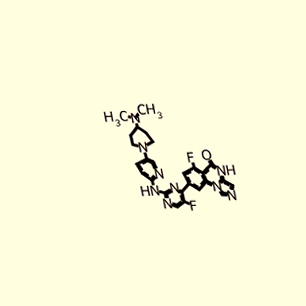 CN(C)C1CCN(c2ccc(Nc3ncc(F)c(-c4cc(F)c5c(=O)[nH]c6cncn6c5c4)n3)nc2)CC1